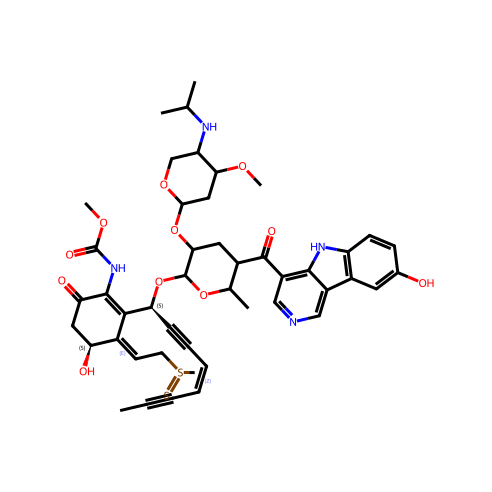 CC#C/C=C\C#C[C@H](OC1OC(C)C(C(=O)c2cncc3c2[nH]c2ccc(O)cc23)CC1OC1CC(OC)C(NC(C)C)CO1)C1=C(NC(=O)OC)C(=O)C[C@H](O)/C1=C/CS(C)=S